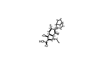 CCn1cc(C(=O)O)c(=O)c2cc(F)c(N3CCN4CCC3C4)c(F)c21